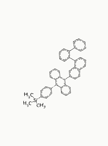 C[Si](C)(C)c1ccc(-c2c3ccccc3c(-c3ccc4cccc(-c5ccccc5-c5ccccc5)c4c3)c3ccccc23)cc1